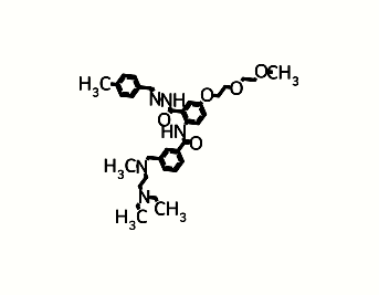 CCN(CC)CCN(C)Cc1cccc(C(=O)Nc2ccc(OCCOCCOC)cc2C(=O)N/N=C/c2ccc(C)cc2)c1